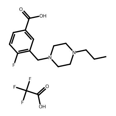 CCCN1CCN(Cc2cc(C(=O)O)ccc2F)CC1.O=C(O)C(F)(F)F